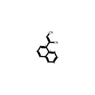 N#C/C=C(\C#N)c1cccc2ccccc12